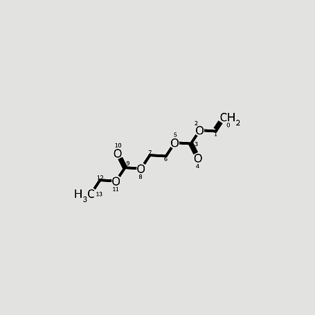 C=COC(=O)OCCOC(=O)OCC